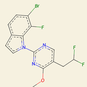 COc1nc(-n2ccc3ccc(Br)c(F)c32)ncc1CC(F)F